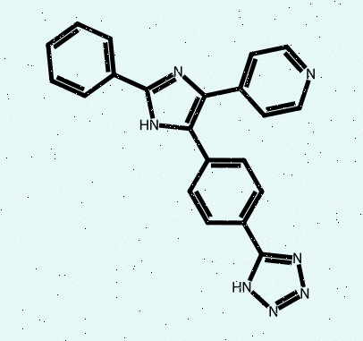 c1ccc(-c2nc(-c3ccncc3)c(-c3ccc(-c4nnn[nH]4)cc3)[nH]2)cc1